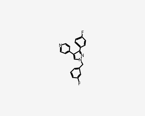 Fc1ccc(-c2nn(Cc3cccc(F)c3)cc2-c2ccncc2)cc1